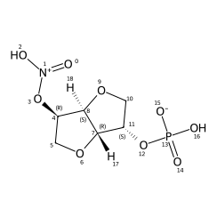 O=[N+](O)O[C@@H]1CO[C@@H]2[C@@H]1OC[C@@H]2OP(=O)([O-])O